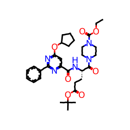 CCOC(=O)N1CCN(C(=O)[C@H](CCC(=O)OC(C)(C)C)NC(=O)c2cc(OC3CCCC3)nc(-c3ccccc3)n2)CC1